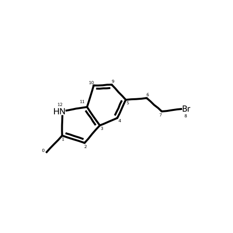 Cc1cc2cc(CCBr)ccc2[nH]1